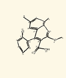 COc1nc2c(C)cc(C)cc2c(-c2ccccc2Cl)c1C(=O)O